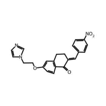 O=C1C(=Cc2ccc([N+](=O)[O-])cc2)CCc2cc(OCCn3ccnc3)ccc21